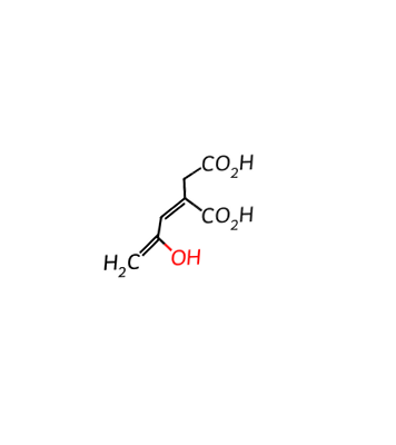 C=C(O)/C=C(/CC(=O)O)C(=O)O